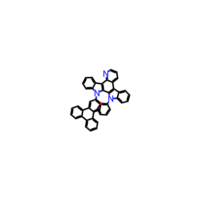 c1ccc(-n2c3ccccc3c3c4cccnc4c4c5ccccc5n(-c5ccc6c7ccccc7c7ccccc7c6c5)c4c32)cc1